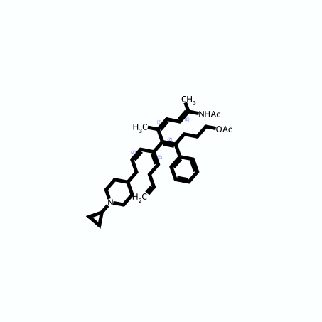 C=CC/C=C(\C=C/CC1CCN(C2CC2)CC1)C(/C(C)=C\C=C(/C)NC(C)=O)=C(/CCCOC(C)=O)c1ccccc1